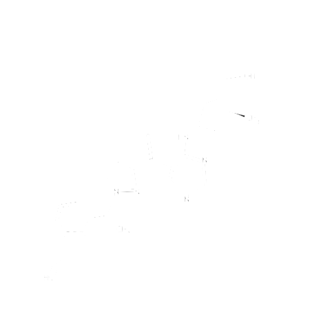 C#Cc1cccc(C(C)n2ccc(C(=O)c3cncnc3N[C@@H]3C[C@H](CO)[C@@H](C)C3)n2)c1